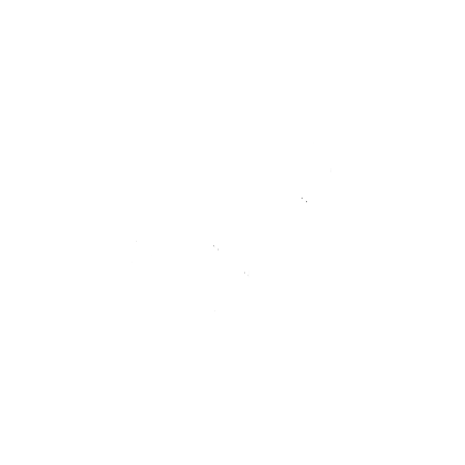 CC(C)(C)c1cc2cc(Nc3ncc(C4CC4)cc3C(=O)O)ccc2[nH]1